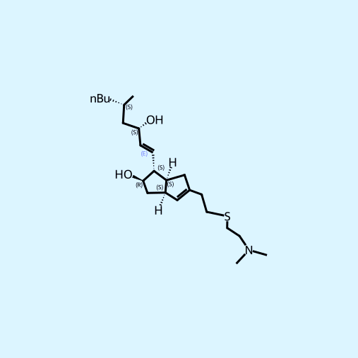 CCCC[C@H](C)C[C@H](O)/C=C/[C@@H]1[C@H]2CC(CCSCCN(C)C)=C[C@H]2C[C@H]1O